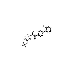 C[C@@H](NC(=O)OC(C)(C)C)C(=O)Nc1ccc(-c2ncccc2F)cc1